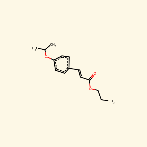 CCCOC(=O)C=Cc1ccc(OC(C)C)cc1